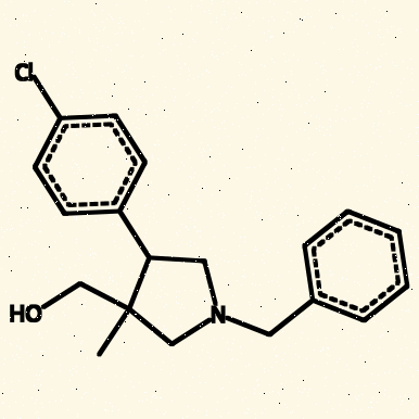 CC1(CO)CN(Cc2ccccc2)CC1c1ccc(Cl)cc1